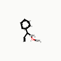 C=CC([SiH2]O[SiH3])c1ccccc1